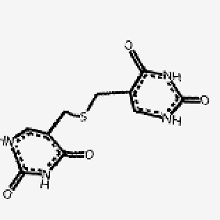 O=c1[nH]cc(CSCc2c[nH]c(=O)[nH]c2=O)c(=O)[nH]1